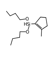 CCCCO[SiH](OCCCC)C1=C(C)CCC1